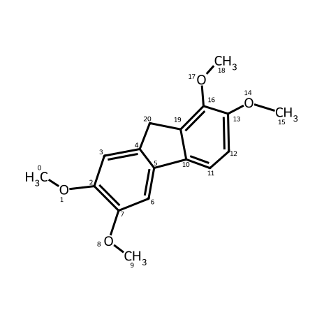 COc1cc2c(cc1OC)-c1ccc(OC)c(OC)c1C2